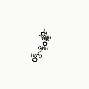 Cc1cc(C)nc(NS(=O)(=O)c2ccc(NC(=O)CCC(=O)Nc3ccccc3)cc2)n1